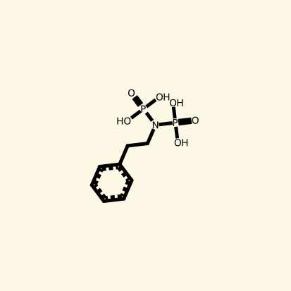 O=P(O)(O)N(CCc1ccccc1)P(=O)(O)O